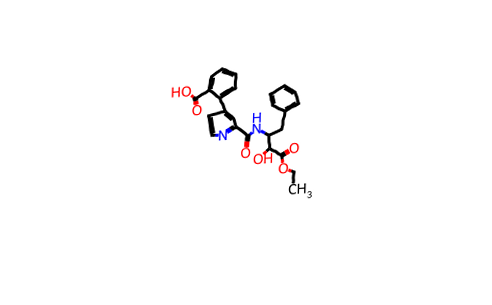 CCOC(=O)C(O)C(Cc1ccccc1)NC(=O)c1cc(-c2ccccc2C(=O)O)ccn1